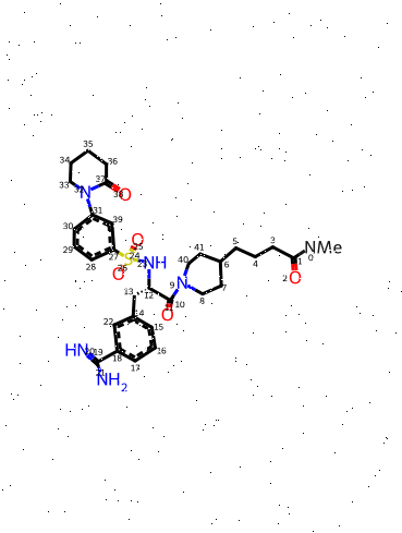 CNC(=O)CCCC1CCN(C(=O)[C@H](Cc2cccc(C(=N)N)c2)NS(=O)(=O)c2cccc(N3CCCCC3=O)c2)CC1